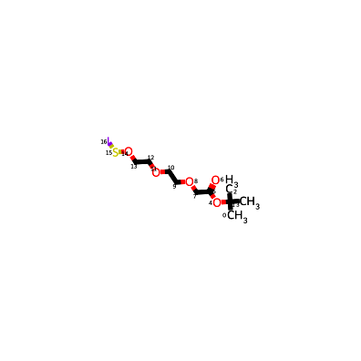 CC(C)(C)OC(=O)COCCOCCOSI